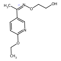 CCOc1ccc(/C(C)=N\OCCO)cn1